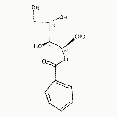 O=C[C@@H](OC(=O)c1ccccc1)[C@@H](O)[C@@H](O)CO